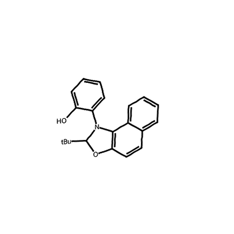 CC(C)(C)C1Oc2ccc3ccccc3c2N1c1ccccc1O